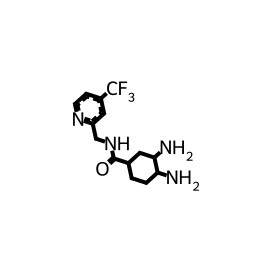 NC1CCC(C(=O)NCc2cc(C(F)(F)F)ccn2)CC1N